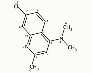 Cc1cc(N(C)C)c2ccc(Cl)cc2n1